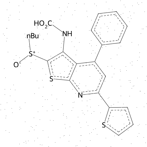 CCCC[S+]([O-])c1sc2nc(-c3cccs3)cc(-c3ccccc3)c2c1NC(=O)O